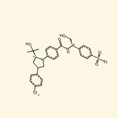 CCS(=O)(=O)c1ccc([C@H](CO)NC(=O)c2ccc(N3CC(c4ccc(C(F)(F)F)cc4)C[C@H]3C(C)(C)O)cc2)cc1